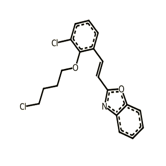 ClCCCCOc1c(Cl)cccc1C=Cc1nc2ccccc2o1